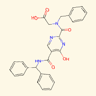 O=C(O)CN(Cc1ccccc1)C(=O)c1ncc(C(=O)NC(c2ccccc2)c2ccccc2)c(O)n1